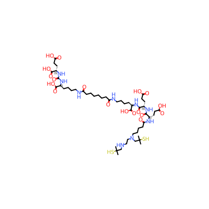 CC(C)(S)CNCCN(CCCCC(=O)N[C@@H](CCC(=O)O)C(=O)N[C@@H](CCC(=O)O)C(=O)N[C@H](CCCCNC(=O)CCCCCCC(=O)NCCCC[C@H](NC(=O)N[C@@H](CCC(=O)O)C(=O)O)C(=O)O)C(=O)O)CC(C)(C)S